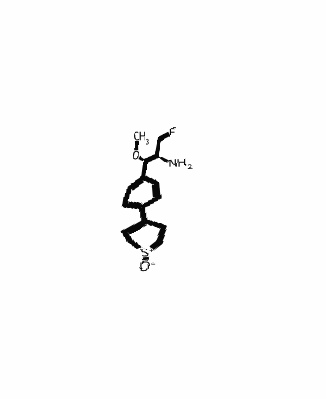 CO[C@H](c1ccc(C2=CC[S+]([O-])CC2)cc1)[C@H](N)CF